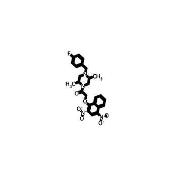 CC1CN(C(=O)COc2c([N+](=O)[O-])cc([N+](=O)[O-])c3ccccc23)C(C)CN1Cc1ccc(F)cc1